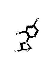 CC(C)c1cc(Cl)ccc1-n1cnc(C#N)c1